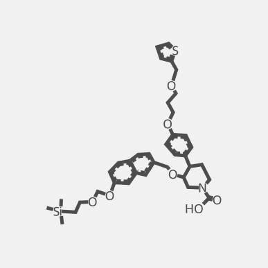 C[Si](C)(C)CCOCOc1ccc2ccc(COC3CN(C(=O)O)CCC3c3ccc(OCCCOCc4cccs4)cc3)cc2c1